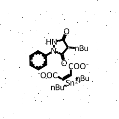 CCCCC1C(=O)NN(c2ccccc2)C1=O.CCC[CH2][Sn+2][CH2]CCC.O=C([O-])/C=C\C(=O)[O-]